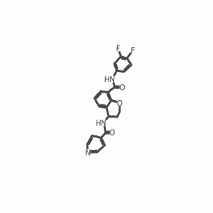 O=C(NC1CCOc2c(C(=O)Nc3ccc(F)c(F)c3)cccc21)c1ccncc1